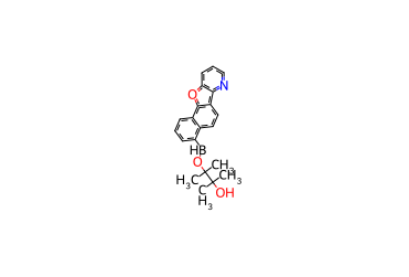 CC(C)(O)C(C)(C)OBc1cccc2c1ccc1c3ncccc3oc21